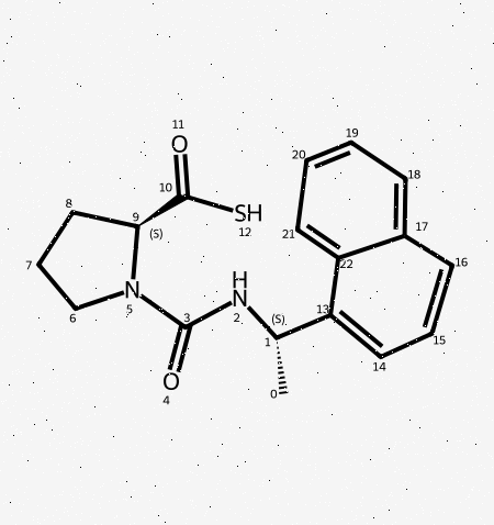 C[C@H](NC(=O)N1CCC[C@H]1C(=O)S)c1cccc2ccccc12